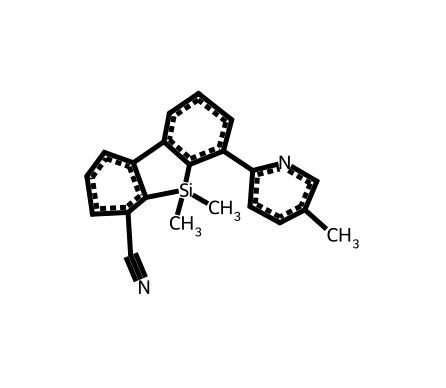 Cc1ccc(-c2cccc3c2[Si](C)(C)c2c(C#N)cccc2-3)nc1